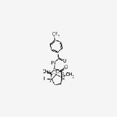 CC1(C)[C@@H]2CC[C@@]1(C)C(=O)N(NC(=O)c1ccc(C(F)(F)F)cc1)C2=O